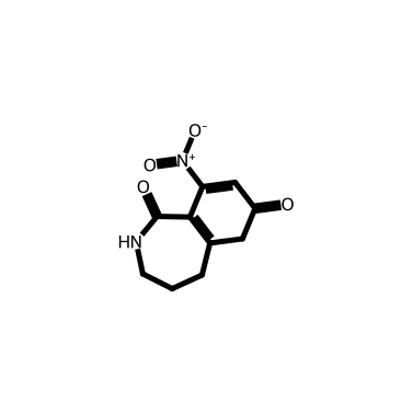 O=C1C=C([N+](=O)[O-])C2=C(CCCNC2=O)C1